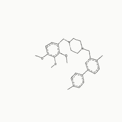 COc1ccc(CN2CCN(Cc3cc(-c4ccc(C)cc4)ccc3C)CC2)c(OC)c1OC